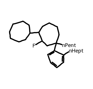 CCCCCCCc1ccccc1C1(CCCCC)CCCCC(C2CCCCCCC2)C(F)C1